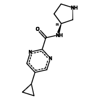 O=C(N[C@H]1CCNC1)c1ncc(C2CC2)cn1